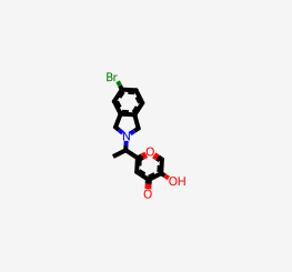 CC(c1cc(=O)c(O)co1)N1Cc2ccc(Br)cc2C1